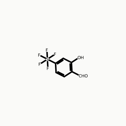 O=Cc1ccc(S(F)(F)(F)(F)F)cc1O